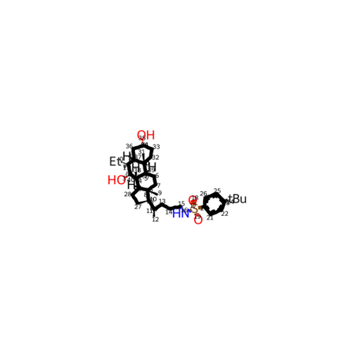 CC[C@H]1[C@@H](O)[C@@H]2[C@H](CC[C@]3(C)[C@@H]([C@H](C)CCCNS(=O)(=O)c4ccc(C(C)(C)C)cc4)CC[C@@H]23)[C@@]2(C)CC[C@@H](O)C[C@@H]12